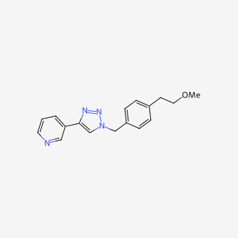 COCCc1ccc(Cn2cc(-c3cccnc3)nn2)cc1